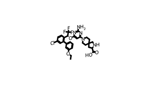 CCOc1cccc(-c2cc(Cl)ccc2[C@@H](Oc2cc(N3CCC4(CC3)CNC(C(=O)O)C4)nc(N)n2)C(F)(F)F)c1